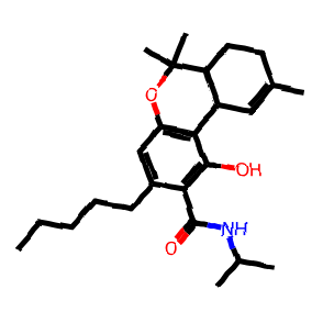 CCCCCc1cc2c(c(O)c1C(=O)NC(C)C)C1C=C(C)CCC1C(C)(C)O2